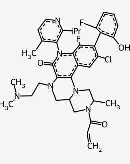 C=CC(=O)N1CC2CN(CCN(C)C)c3c(c4cc(Cl)c(-c5c(O)cccc5F)c(F)c4n(-c4c(C)ccnc4C(C)C)c3=O)N2CC1C